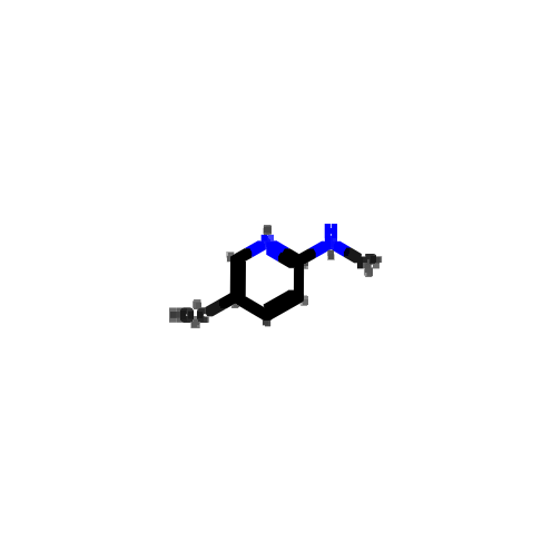 CCCNc1ccc(C(=O)O)cn1